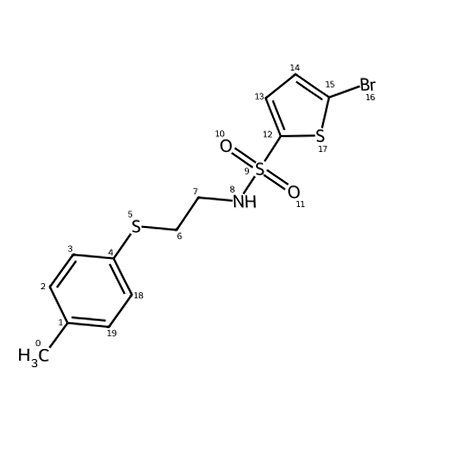 Cc1ccc(SCCNS(=O)(=O)c2ccc(Br)s2)cc1